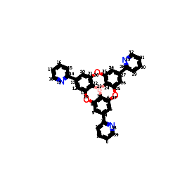 c1ccc(-c2cc3c4c(c2)Oc2cc(-c5ccccn5)cc5c2B4c2c(cc(-c4ccccn4)cc2O5)O3)nc1